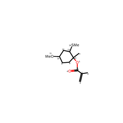 C=C(C)C(=O)OC1(C)CCC(OC)CC1SC